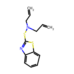 C=CCN(CC=C)Sc1nc2ccccc2s1